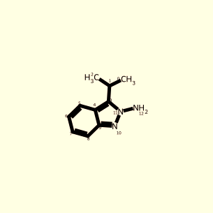 CC(C)c1c2ccccc2nn1N